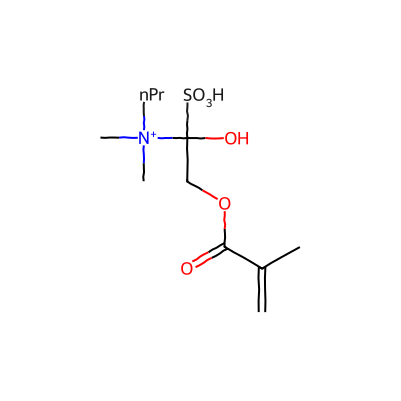 C=C(C)C(=O)OCC(O)([N+](C)(C)CCC)S(=O)(=O)O